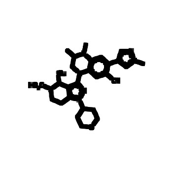 CC1CN(c2nn(C3CCOCC3)c3c2C(C(C)(C)C)N(C(=O)O)CC3)c2cc(C#N)c(-c3cnn(C)c3)cc2N1C